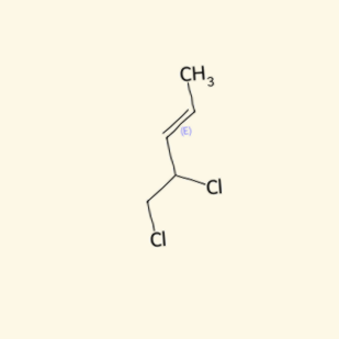 C/C=C/C(Cl)CCl